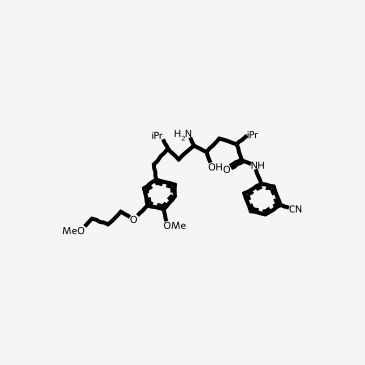 COCCCOc1cc(CC(CC(N)C(O)CC(C(=O)Nc2cccc(C#N)c2)C(C)C)C(C)C)ccc1OC